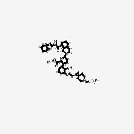 CCOC(=O)CN1CCC2(CC1)C[C@@H]2CCOc1cccc(-c2ccc(N3CCc4cccc(C(=O)Nc5nc6ccccc6s5)c4C3)nc2C(=O)OC(C)(C)C)c1C